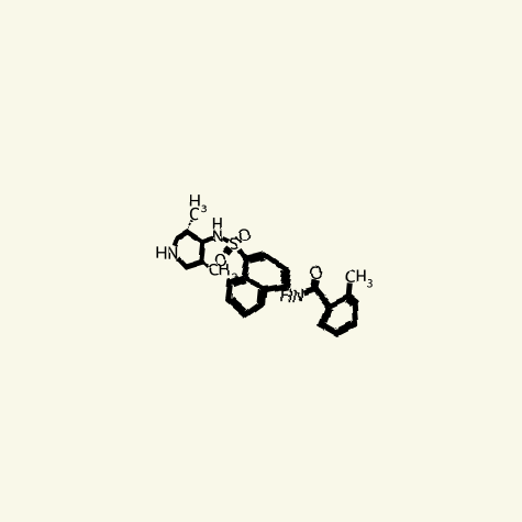 Cc1ccccc1C(=O)Nc1ccc(S(=O)(=O)NC2[C@@H](C)CNC[C@@H]2C)c2ccccc12